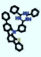 c1ccc(-c2ccc3c4ccc5c6ccccc6sc5c4n(-c4cccc(C5NC(c6ccccc6)NC(c6ccccc6)N5)c4)c3c2)cc1